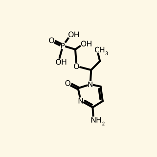 CCC(OC(O)P(=O)(O)O)n1ccc(N)nc1=O